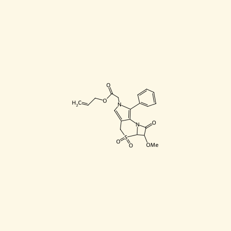 C=CCOC(=O)Cn1cc2c(c1-c1ccccc1)N1C(=O)C(OC)C1S(=O)(=O)C2